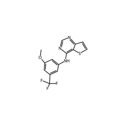 COc1cc(Nc2ncnc3ccsc23)cc(C(F)(F)F)c1